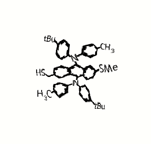 CSc1ccc2c(N(c3ccc(C)cc3)c3ccc(C(C)(C)C)cc3)c3cc(CS)ccc3c(N(c3ccc(C)cc3)c3ccc(C(C)(C)C)cc3)c2c1